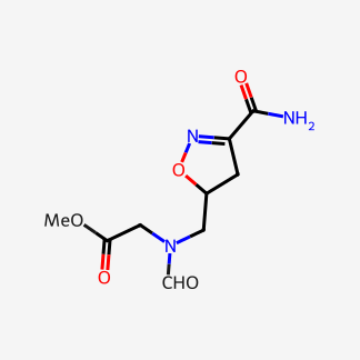 COC(=O)CN(C=O)CC1CC(C(N)=O)=NO1